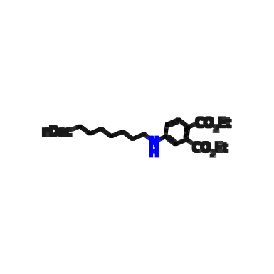 CCCCCCCCCCCCCCCCCNc1ccc(C(=O)OCC)c(C(=O)OCC)c1